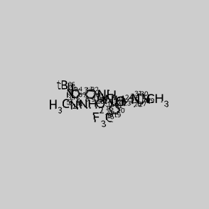 CC1N=C(N)c2c(-c3ccc(NC(=O)Nc4cc(C(F)(F)F)ccc4OCCN4CCN(C)CC4)cc3)cc(C(C)(C)C)nc21